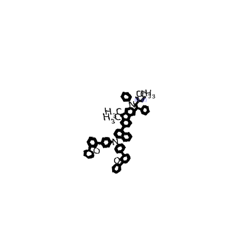 C/C=C\C(=C/C)c1c(-c2ccccc2)c2cc3c(cc2n1-c1ccccc1)C(C)(C)c1cc(-c2ccc(N(c4ccc(-c5cccc6c5OC5C=CC=CC65)cc4)c4ccc(-c5cccc6c5oc5ccccc56)cc4)c4ccccc24)ccc1-3